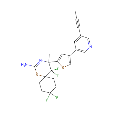 CC#Cc1cncc(-c2csc(C3(C)N=C(N)SC4(CCC(F)(F)CC4)C3(F)F)c2)c1